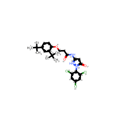 CCC(C)(C)c1ccc(OCCC(=O)Nc2cc(=O)n(-c3c(Cl)cc(Cl)cc3Cl)[nH]2)c(C(C)(C)CC)c1